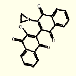 O=C1C(Cl)=C(C2=C(N3CC3)C(=O)c3ccccc3C2=O)C(=O)c2ccccc21